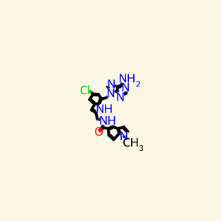 Cn1ccc2cc(C(=O)NCc3cc4cc(Cl)cc(Cn5cnc6c(N)ncnc65)c4[nH]3)ccc21